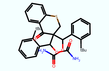 CC(C)(C)c1ccccc1C(OC(N)=O)C1(C(OC(N)=O)c2ccccc2C(C)(C)C)CSc2ccccc2C1=O